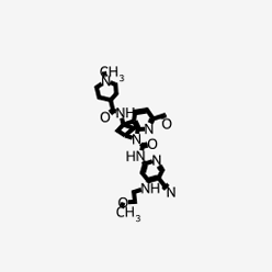 COCCNc1cc(NC(=O)N2c3nc(C=O)ccc3C3(NC(=O)C4CCN(C)CC4)CC2C3)ncc1C#N